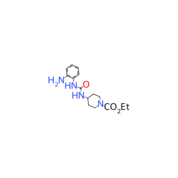 CCOC(=O)N1CCC(NC(=O)Nc2ccccc2N)CC1